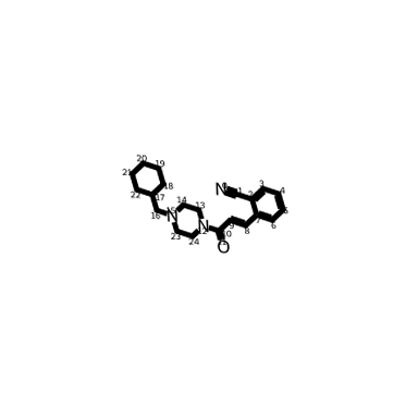 N#Cc1ccccc1/C=C/C(=O)N1CCN(CC2CCCCC2)CC1